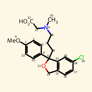 COc1ccc(C2(CCCN(C)CC(=O)O)OCc3ccc(Cl)cc32)cc1